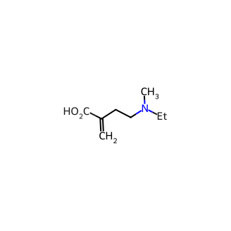 C=C(CCN(C)CC)C(=O)O